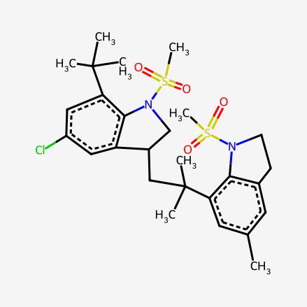 Cc1cc2c(c(C(C)(C)CC3CN(S(C)(=O)=O)c4c3cc(Cl)cc4C(C)(C)C)c1)N(S(C)(=O)=O)CC2